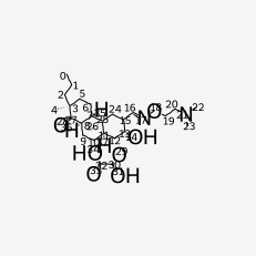 CCC[C@@]1(C)CC[C@H]2[C@@H](CC[C@@H]3C[C@@H](O)C(/C=N/OCCN(C)C)C[C@@]32C)C1=O.O=C(O)C(=O)O